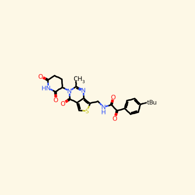 Cc1nc2c(CNC(=O)C(=O)c3ccc(C(C)(C)C)cc3)scc2c(=O)n1C1CCC(=O)NC1=O